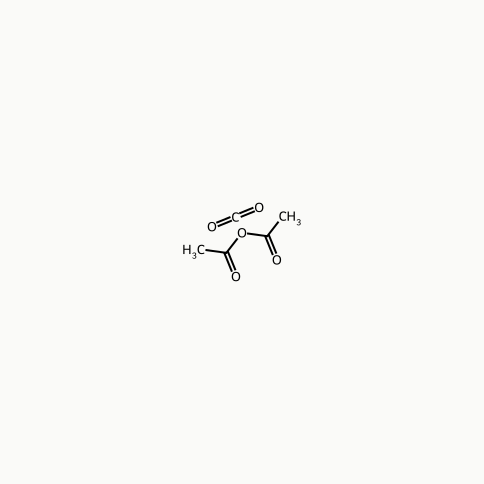 CC(=O)OC(C)=O.O=C=O